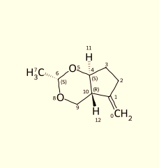 C=C1CC[C@@H]2O[C@@H](C)OC[C@@H]12